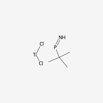 CC(C)(C)P=N.[Cl][Ti][Cl]